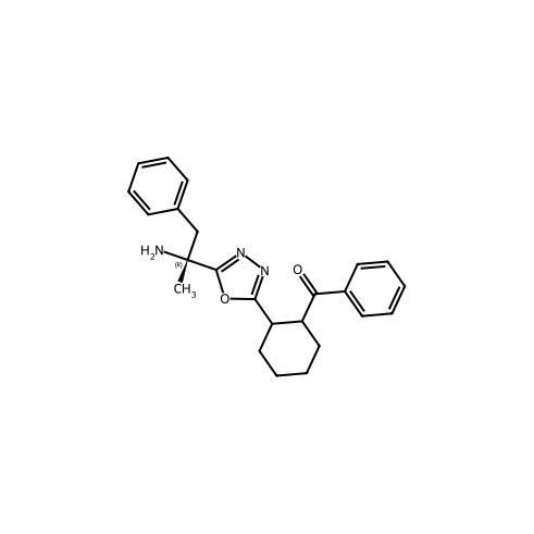 C[C@@](N)(Cc1ccccc1)c1nnc(C2CCCCC2C(=O)c2ccccc2)o1